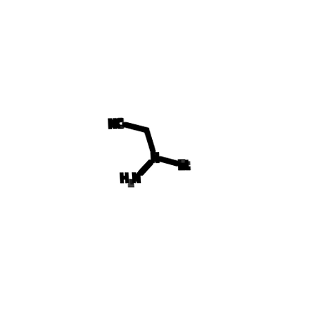 CCN(N)CC#N